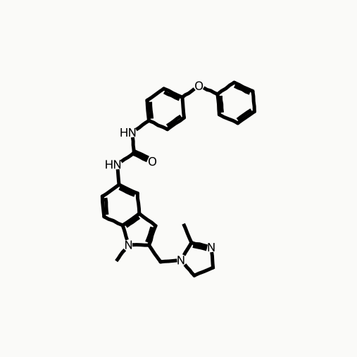 CC1=NCCN1Cc1cc2cc(NC(=O)Nc3ccc(Oc4ccccc4)cc3)ccc2n1C